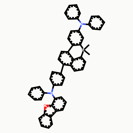 C[Si]1(C)c2cc(N(c3ccccc3)c3ccccc3)ccc2-c2ccc(-c3ccc(N(c4ccccc4)c4cccc5c4oc4ccccc45)cc3)c3cccc1c23